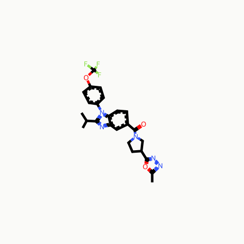 Cc1nnc(C2CCN(C(=O)c3ccc4c(c3)nc(C(C)C)n4-c3ccc(OC(F)(F)F)cc3)C2)o1